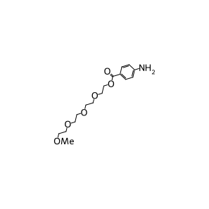 COCCOCCOCCOCCOC(=O)c1ccc(N)cc1